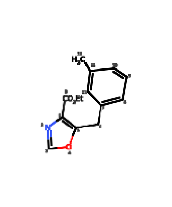 CCOC(=O)c1ncoc1Cc1cccc(C)c1